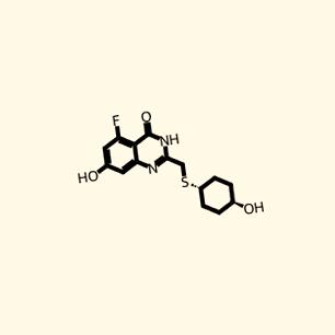 O=c1[nH]c(CS[C@H]2CC[C@H](O)CC2)nc2cc(O)cc(F)c12